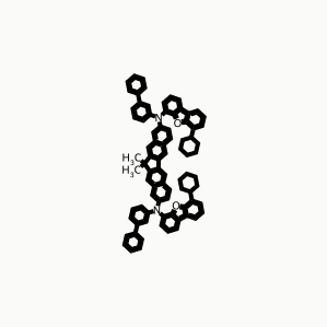 CC1(C)c2cc3cc(N(c4cccc(-c5ccccc5)c4)c4cccc5c4oc4c(C6CCCCC6)cccc45)ccc3cc2-c2cc3ccc(N(c4cccc(-c5ccccc5)c4)c4cccc5c4oc4c(C6CCCCC6)cccc45)cc3cc21